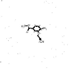 C#CCOc1cc(C(=O)OC)ccc1N